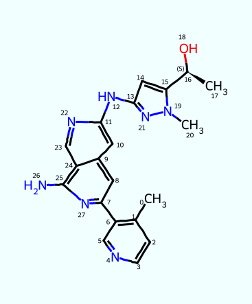 Cc1ccncc1-c1cc2cc(Nc3cc([C@H](C)O)n(C)n3)ncc2c(N)n1